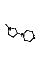 CN1CCC(N2CCSCC2)C1